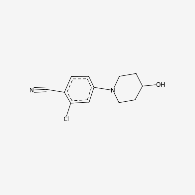 N#Cc1ccc(N2CCC(O)CC2)cc1Cl